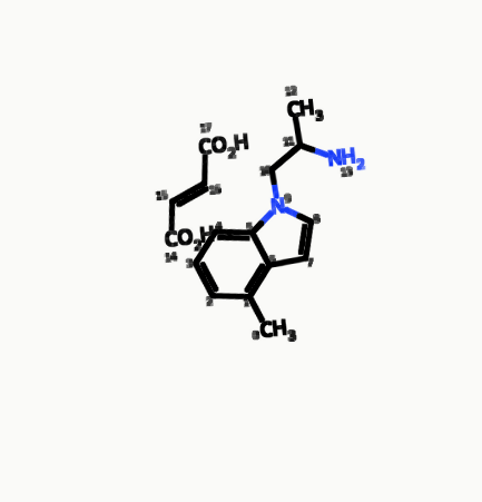 Cc1cccc2c1ccn2CC(C)N.O=C(O)/C=C/C(=O)O